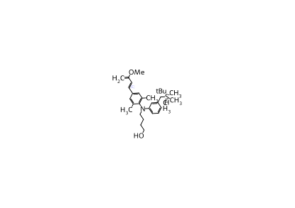 C=C(/C=C/c1cc(C)c(N(CCCCO)c2cccc(C[SH](C)(C)(C)C(C)(C)C)c2)c(C)c1)OC